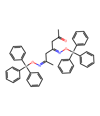 CC(=O)CC(CC(C)=NO[Si](c1ccccc1)(c1ccccc1)c1ccccc1)=NO[Si](c1ccccc1)(c1ccccc1)c1ccccc1